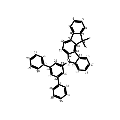 CC1(C)c2ccccc2-c2ccc3c(c21)c1ccccc1n3-c1cc(-c2ccccc2)cc(-c2ccccc2)c1